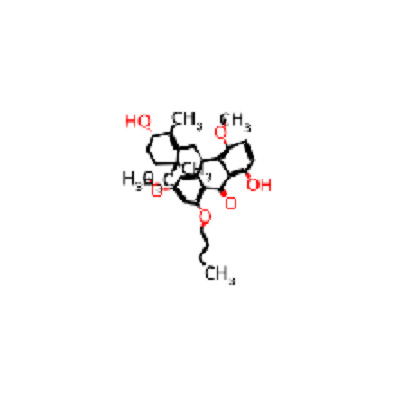 CCCCOc1cc(OC)cc2c1C(=O)c1c(O)ccc(OC)c1[C@@H]2CC1=C(C)[C@@H](O)CCC1(C)C